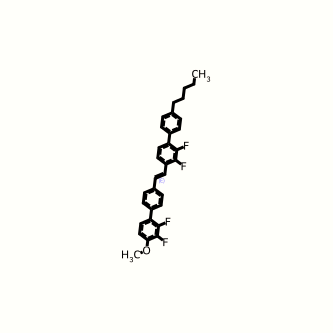 CCCCCc1ccc(-c2ccc(/C=C/c3ccc(-c4ccc(OC)c(F)c4F)cc3)c(F)c2F)cc1